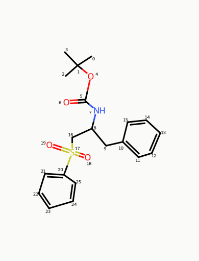 CC(C)(C)OC(=O)NC(Cc1ccccc1)CS(=O)(=O)c1ccccc1